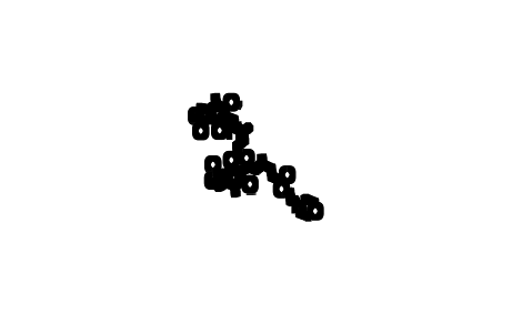 COc1c(C)c2c(c(O)c1C/C=C(\C)CCC(=O)Oc1c(C/C=C(\C)CCC(=O)OCCN3CCOCC3)c(OC)c(C)c3c1C(=O)OC3)C(=O)OC2